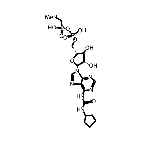 CNCP(=O)(O)OP(=O)(O)OC[C@H]1O[C@@H](n2cnc3c(NC(=O)NC4CCCC4)ncnc32)[C@@H](O)C1O